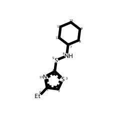 CCc1csc(SNC2CCCCC2)n1